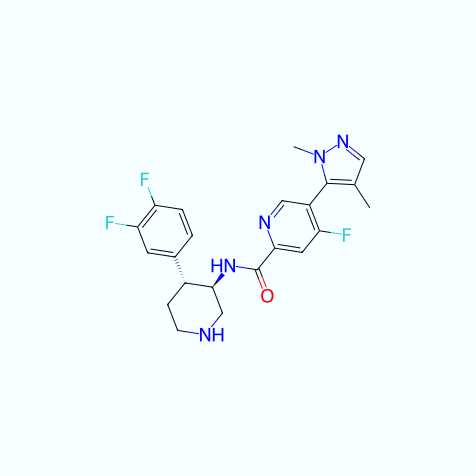 Cc1cnn(C)c1-c1cnc(C(=O)N[C@H]2CNCC[C@@H]2c2ccc(F)c(F)c2)cc1F